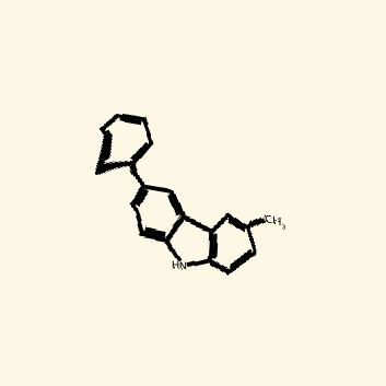 Cc1ccc2[nH]c3ccc(-c4ccccc4)cc3c2c1